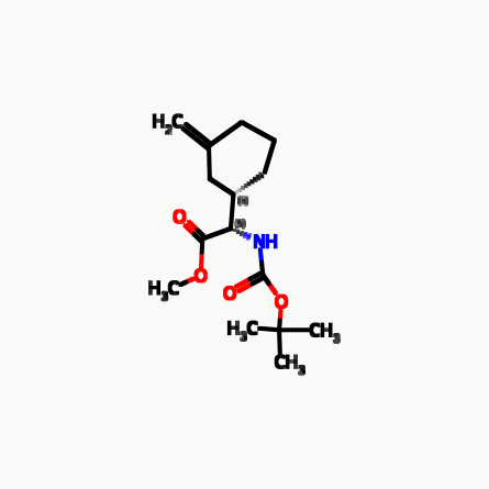 C=C1CCC[C@H]([C@H](NC(=O)OC(C)(C)C)C(=O)OC)C1